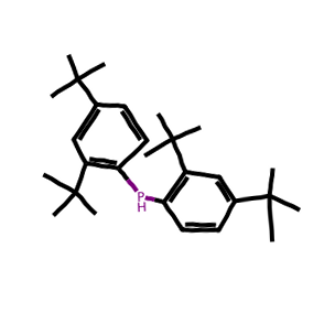 CC(C)(C)c1ccc(Pc2ccc(C(C)(C)C)cc2C(C)(C)C)c(C(C)(C)C)c1